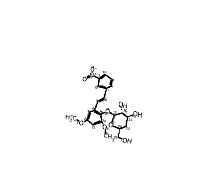 COc1cc(/C=C/c2cccc([N+](=O)[O-])c2)c(O[C@@H]2O[C@H](CO)C[C@H](O)[C@H]2O)c(OC)c1